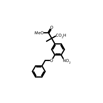 COC(=O)C(C)(C(=O)O)c1ccc([N+](=O)[O-])c(OCc2ccccc2)c1